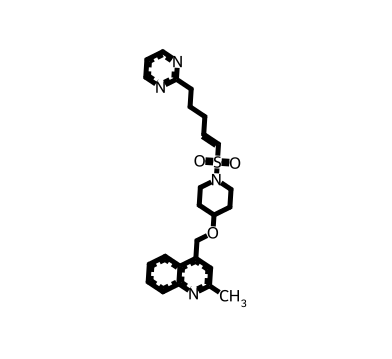 Cc1cc(COC2CCN(S(=O)(=O)C=CCCCc3ncccn3)CC2)c2ccccc2n1